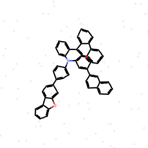 c1cc(-c2ccc3ccccc3c2)cc(N(c2ccc(-c3ccc4c(c3)oc3ccccc34)cc2)c2ccccc2-c2cc3ccccc3c3ccccc23)c1